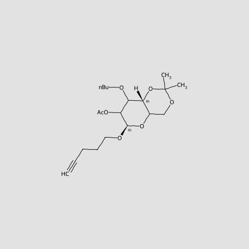 C#CCCCO[C@@H]1OC2COC(C)(C)O[C@H]2C(OCCCC)C1OC(C)=O